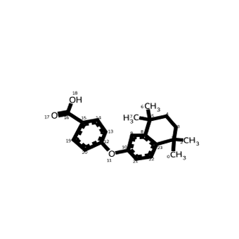 CC1(C)CCC(C)(C)c2cc(Oc3ccc(C(=O)O)cc3)ccc21